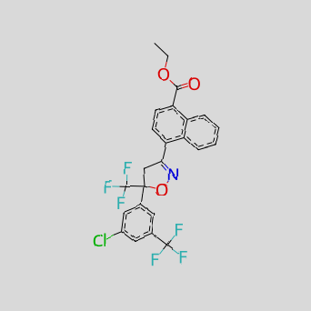 CCOC(=O)c1ccc(C2=NOC(c3cc(Cl)cc(C(F)(F)F)c3)(C(F)(F)F)C2)c2ccccc12